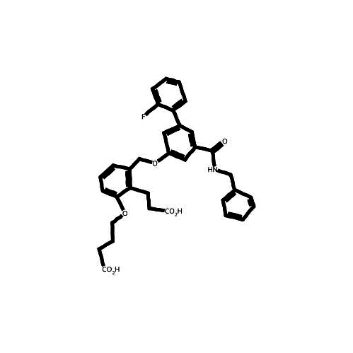 O=C(O)CCCOc1cccc(COc2cc(C(=O)NCc3ccccc3)cc(-c3ccccc3F)c2)c1CCC(=O)O